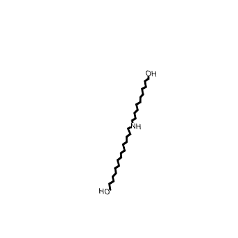 OCCCCCCCCCCCCCCCCNCCCCCCCCCCCCO